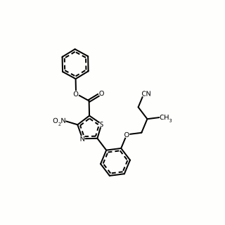 CC(CC#N)COc1ccccc1-c1nc([N+](=O)[O-])c(C(=O)Oc2ccccc2)s1